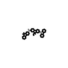 C=CC1(C)c2cc(-n3c4ccccc4c4ccccc43)ccc2C2C=CC(N(C)c3ccc4c(c3)C(C)(C)c3ccccc3-4)=CC21